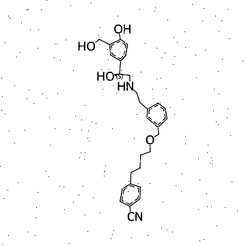 N#Cc1ccc(CCCCOCc2cccc(CCNC[C@@H](O)c3ccc(O)c(CO)c3)c2)cc1